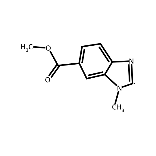 COC(=O)c1ccc2n[c]n(C)c2c1